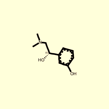 CN(C)C[C@@H](O)c1cccc(O)c1